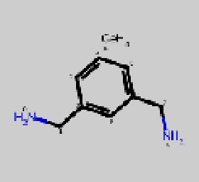 NCc1cccc(CN)c1.[GeH4]